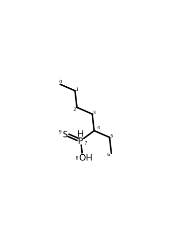 CCCCC(CC)[PH](O)=S